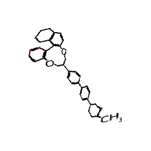 CC1CCC(c2ccc(-c3ccc(C4COc5ccc6c(c5-c5c(ccc7c5CCCC7)OC4)CCCC6)cc3)cc2)CC1